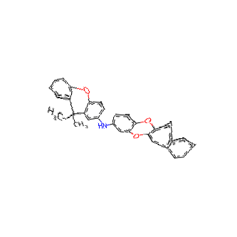 CC1(C)c2ccccc2Oc2ccc(Nc3ccc4c(c3)Oc3cc5ccccc5cc3O4)cc21